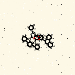 c1ccc(-c2nc(-c3ccccc3)nc(-n3c4ccccc4c4ccc5c6ccccc6n(-c6cccc7nc(-c8cc9ccccc9c9ccccc89)oc67)c5c43)n2)cc1